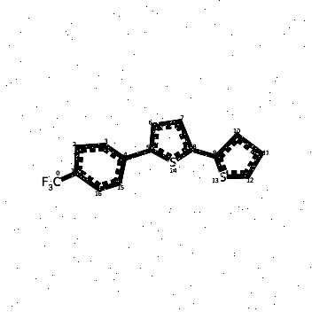 FC(F)(F)c1ccc(-c2ccc(-c3cccs3)s2)cc1